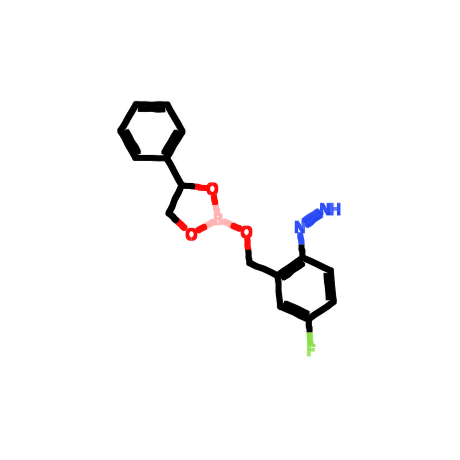 N=Nc1ccc(F)cc1COB1OCC(c2ccccc2)O1